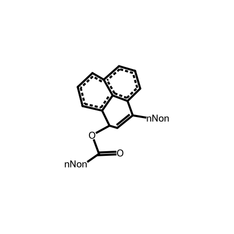 CCCCCCCCCC(=O)OC1C=C(CCCCCCCCC)c2cccc3cccc1c23